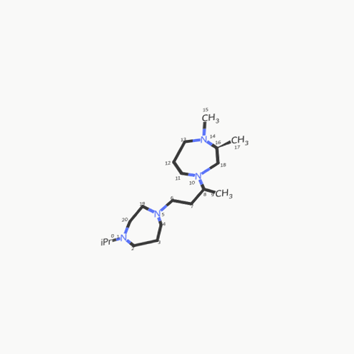 CC(C)N1CCCN(CCC(C)N2CCCN(C)[C@@H](C)C2)CC1